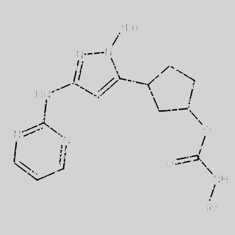 CC(C)NC(=O)OC1CCC(c2cc(Nc3ncccn3)nn2C(C)(C)C)C1